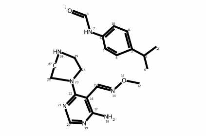 CC(C)c1ccc(NC=O)cc1.CON=Cc1c(N)ncnc1N1CCNCC1